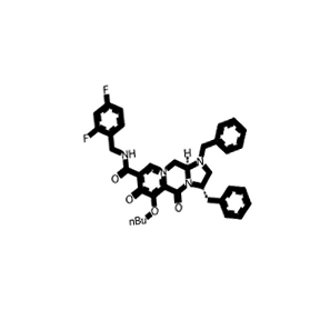 CCCCOc1c2n(cc(C(=O)NCc3ccc(F)cc3F)c1=O)C[C@H]1N(Cc3ccccc3)C[C@H](Cc3ccccc3)N1C2=O